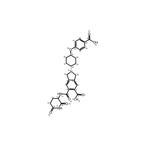 CC(=O)c1cc2c(cc1C(=O)NC1CCC(=O)NC1=O)CN([C@H]1CC[C@H](Oc3ccc(C(=O)O)cc3)CC1)C2